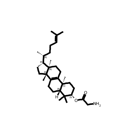 CC(C)=CCC[C@@H](C)[C@H]1CC[C@@]2(C)C3=C(CC[C@]12C)[C@@]1(C)CC[C@H](OC(=O)CN)C(C)(C)[C@@H]1CC3